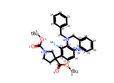 CC(C)(C)OC(=O)N1CCC(C(=O)OC(C)(C)C)(c2ccc(N)c(N(Cc3ccccc3)Cc3ccccc3)c2F)C1